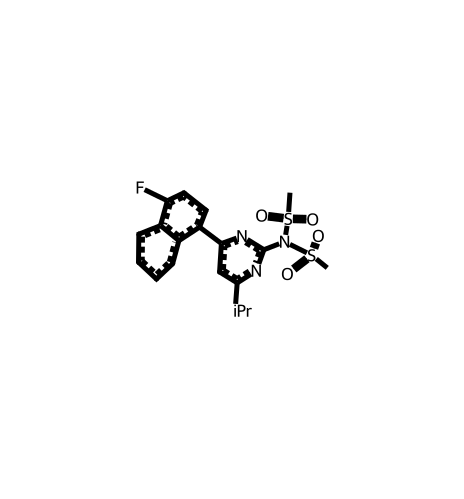 CC(C)c1cc(-c2ccc(F)c3ccccc23)nc(N(S(C)(=O)=O)S(C)(=O)=O)n1